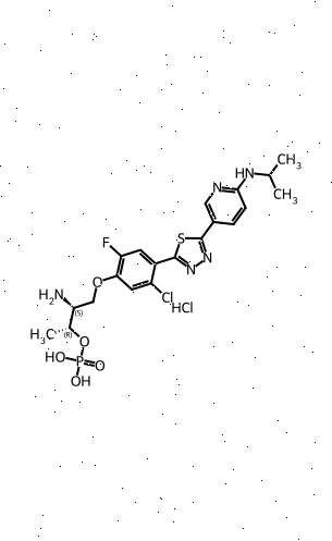 CC(C)Nc1ccc(-c2nnc(-c3cc(F)c(OC[C@H](N)[C@@H](C)OP(=O)(O)O)cc3Cl)s2)cn1.Cl